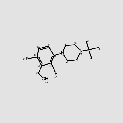 CC(C)(C)N1CCN(c2ccc(F)c(CO)c2F)CC1